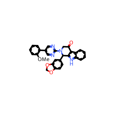 COc1ccccc1-c1cnc(N2CC(=O)c3c([nH]c4ccccc34)C2c2ccc3c(c2)OCO3)nc1